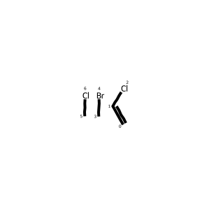 C=CCl.CBr.CCl